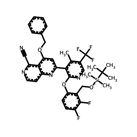 Cc1c(C(F)(F)F)cnc(Oc2ccc(F)c(F)c2CO[Si](C)(C)C(C)(C)C)c1-c1cc(OCc2ccccc2)c2c(C#N)nccc2n1